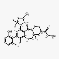 Cc1c(-c2c(O)cccc2F)nc(N2CC(O)CC2(C)C)c2c1OC[C@H]1CN(C(=O)OC(C)(C)C)CCN1C2=O